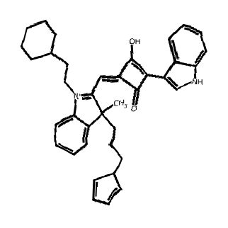 CC1(CCCC2C=CC=C2)C(/C=C2\C(=O)C(c3c[nH]c4ccccc34)=C2O)=[N+](CCC2CCCCC2)c2ccccc21